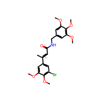 COc1cc(/C(C)=C/C(=O)NCc2cc(OC)c(OC)c(OC)c2)cc(Br)c1OC